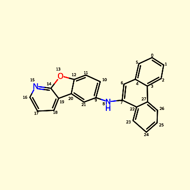 c1ccc2c(c1)cc(Nc1ccc3oc4ncccc4c3c1)c1ccccc12